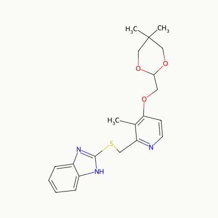 Cc1c(OCC2OCC(C)(C)CO2)ccnc1CSc1nc2ccccc2[nH]1